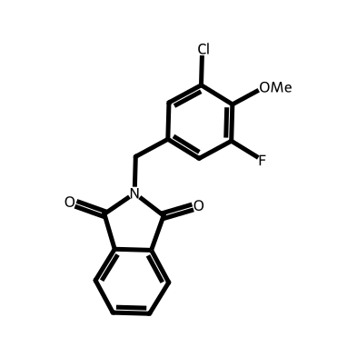 COc1c(F)cc(CN2C(=O)c3ccccc3C2=O)cc1Cl